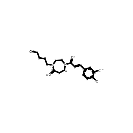 O=C(/C=C/c1ccc(Cl)c(Cl)c1)N1CCC(=O)N(CCCCCl)CC1